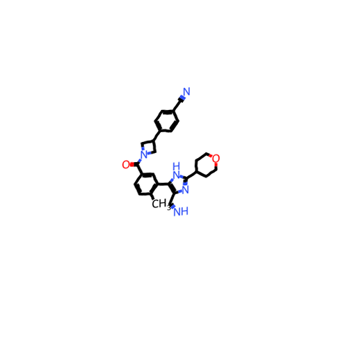 Cc1ccc(C(=O)N2CC(c3ccc(C#N)cc3)C2)cc1-c1[nH]c(C2CCOCC2)nc1C=N